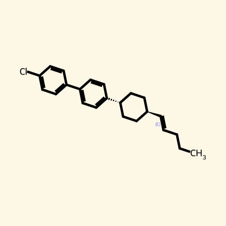 CCC/C=C/[C@H]1CC[C@H](c2ccc(-c3ccc(Cl)cc3)cc2)CC1